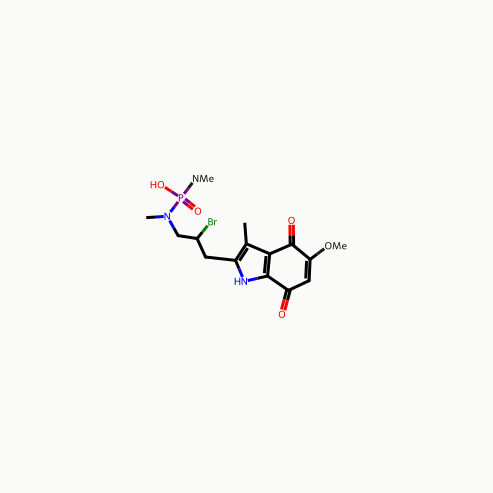 CNP(=O)(O)N(C)CC(Br)Cc1[nH]c2c(c1C)C(=O)C(OC)=CC2=O